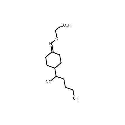 N#CC(CCCC(F)(F)F)C1CCC(=NOCC(=O)O)CC1